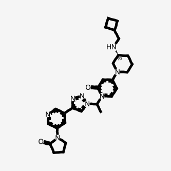 CC(n1cc(-c2cncc(N3CCCC3=O)c2)nn1)n1ccc(N2CCC[C@@H](NCC3CCC3)C2)cc1=O